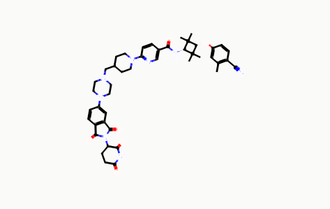 Cc1cc(O[C@H]2C(C)(C)[C@H](NC(=O)c3ccc(N4CCC(CN5CCN(c6ccc7c(c6)C(=O)N(C6CCC(=O)NC6=O)C7=O)CC5)CC4)nc3)C2(C)C)ccc1C#N